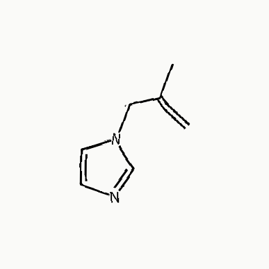 C=C(C)[CH]n1ccnc1